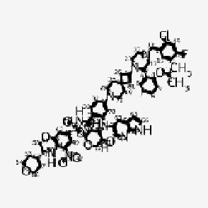 CC(C)Oc1ccccc1[C@@H]1CN(Cc2ccc(F)cc2Cl)CCN1C1CC2(CCN(c3ccc(C(=O)NS(=O)(=O)c4cc5c(c([N+](=O)[O-])c4)N[C@H](C4CCOCC4)CO5)c(N4c5cc6cc[nH]c6nc5O[C@H]5COCC[C@@H]54)c3)CC2)C1